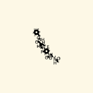 CC(=O)NC[C@H]1CN(c2cc(F)c(N3C[C@@H]4C(C(=O)NOCc5ccccc5)[C@@H]4C3)c(F)c2)C(=O)O1